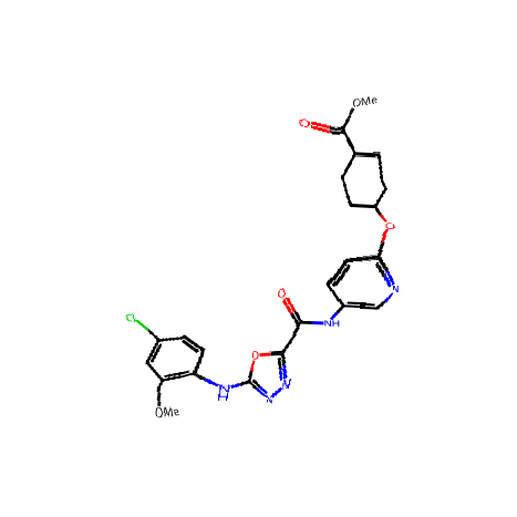 COC(=O)C1CCC(Oc2ccc(NC(=O)c3nnc(Nc4ccc(Cl)cc4OC)o3)cn2)CC1